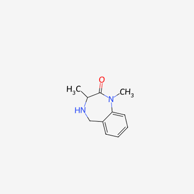 CC1NCc2ccccc2N(C)C1=O